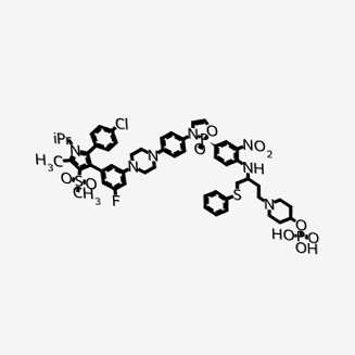 Cc1c(S(C)(=O)=O)c(-c2cc(F)cc(N3CCN(c4ccc(N5C=CO[P@]5(=O)c5ccc(NC(CCN6CCC(OP(=O)(O)O)CC6)CSc6ccccc6)c([N+](=O)[O-])c5)cc4)CC3)c2)c(-c2ccc(Cl)cc2)n1C(C)C